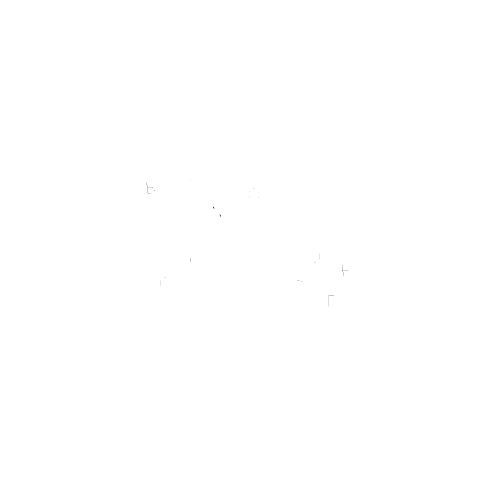 O=C1CSC(c2c(Br)ccc3c2OCO3)N1Cc1ccc(OC(F)(F)F)cc1